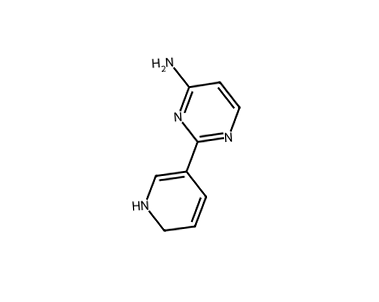 Nc1ccnc(C2=CNCC=C2)n1